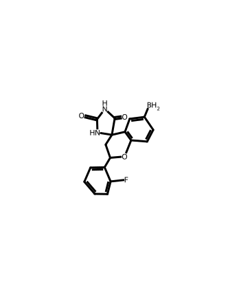 Bc1ccc2c(c1)C1(CC(c3ccccc3F)O2)NC(=O)NC1=O